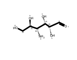 N[C@@H]([C@H](O)[C@@H](O)C=O)[C@H](O)CO